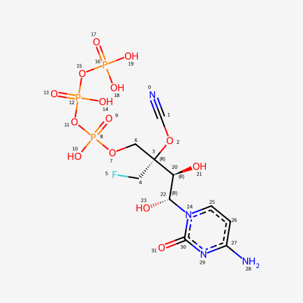 N#CO[C@](CF)(COP(=O)(O)OP(=O)(O)OP(=O)(O)O)[C@@H](O)[C@@H](O)n1ccc(N)nc1=O